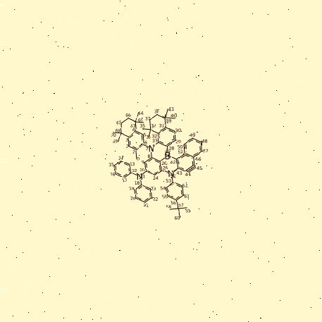 Cc1cc2c(cc1N1c3cc(N(c4ccccc4)c4ccccc4)cc4c3B(c3ccc5c(c31)C(C)(C)CCC5(C)C)c1c(c#cc3ccccc13)N4c1ccc(C(C)(C)C)cc1)C(C)(C)CCC2(C)C